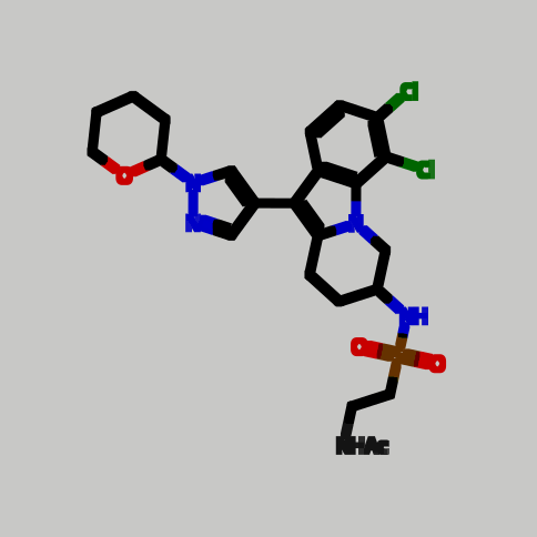 CC(=O)NCCS(=O)(=O)NC1CCc2c(-c3cnn(C4CCCCO4)c3)c3ccc(Cl)c(Cl)c3n2C1